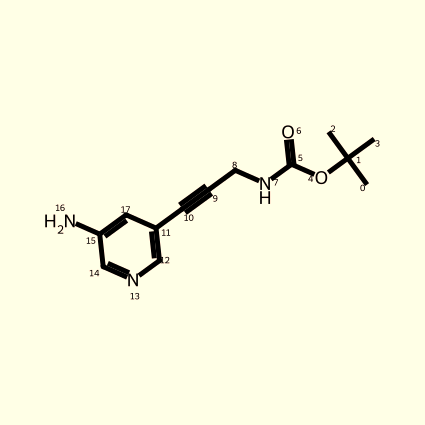 CC(C)(C)OC(=O)NCC#Cc1cncc(N)c1